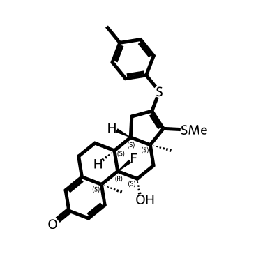 CSC1=C(Sc2ccc(C)cc2)C[C@H]2[C@@H]3CCC4=CC(=O)C=C[C@]4(C)[C@@]3(F)[C@@H](O)C[C@]12C